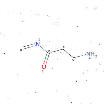 C=NC(=O)CCN